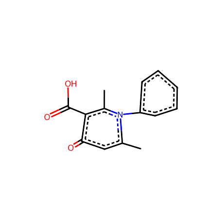 Cc1cc(=O)c(C(=O)O)c(C)n1-c1ccccc1